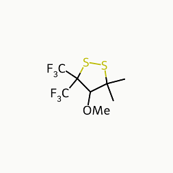 COC1C(C)(C)SSC1(C(F)(F)F)C(F)(F)F